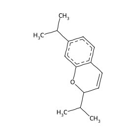 CC(C)c1ccc2c(c1)OC(C(C)C)C=C2